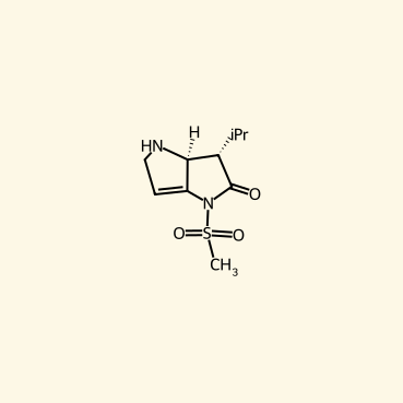 CC(C)[C@@H]1C(=O)N(S(C)(=O)=O)C2=CCN[C@H]21